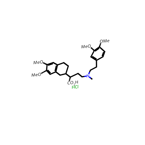 COc1ccc(CCN(C)CCC(C(=O)O)C2CCc3cc(OC)c(OC)cc3C2)cc1OC.Cl